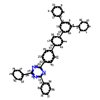 c1ccc(-c2cc(-c3ccccc3)cc(-c3ccc(-c4ccc(-c5nc(-c6ccccc6)nc(-c6ccccc6)n5)cc4)cc3)c2)cc1